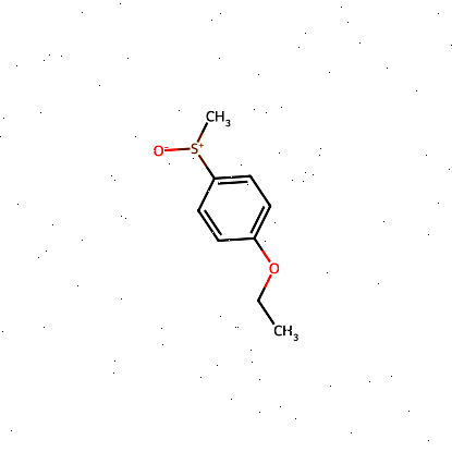 CCOc1ccc([S+](C)[O-])cc1